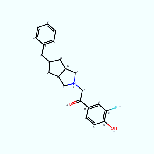 O=C(CN1CC2CC(Cc3ccccc3)CC2C1)c1ccc(O)c(F)c1